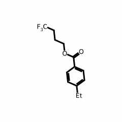 CCc1ccc(C(=O)OCCCC(F)(F)F)cc1